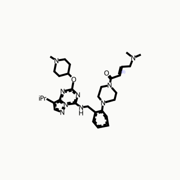 CC(C)c1cnn2c(NCc3ccccc3N3CCN(C(=O)/C=C/CN(C)C)CC3)nc(OC3CCN(C)CC3)nc12